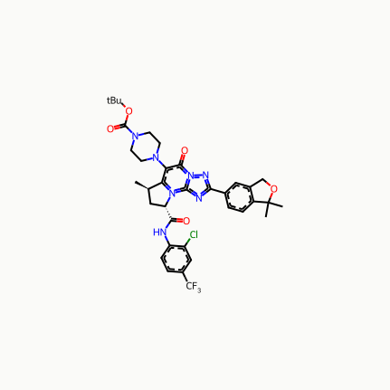 C[C@@H]1C[C@@H](C(=O)Nc2ccc(C(F)(F)F)cc2Cl)n2c1c(N1CCN(C(=O)OC(C)(C)C)CC1)c(=O)n1nc(-c3ccc4c(c3)COC4(C)C)nc21